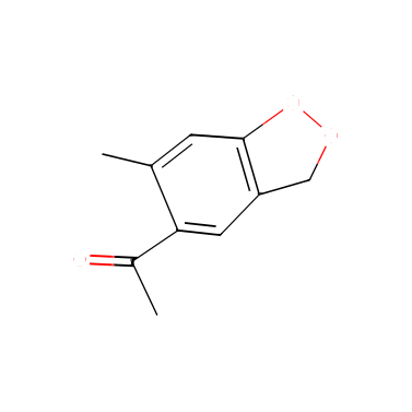 CC(=O)c1cc2c(cc1C)OOC2